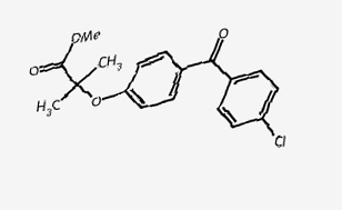 [CH2]OC(=O)C(C)(C)Oc1ccc(C(=O)c2ccc(Cl)cc2)cc1